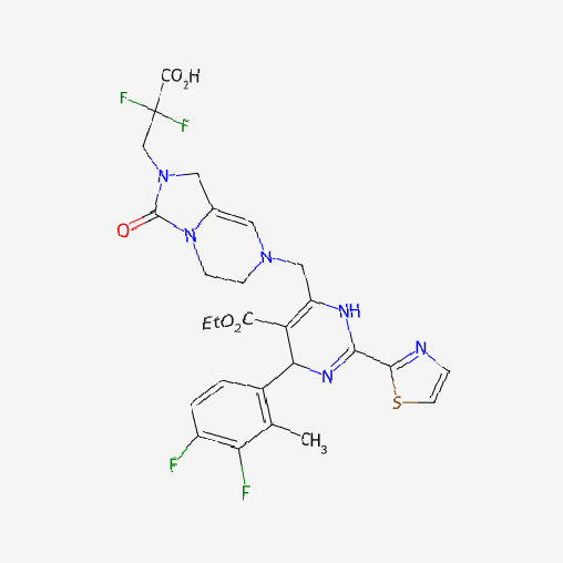 CCOC(=O)C1=C(CN2C=C3CN(CC(F)(F)C(=O)O)C(=O)N3CC2)NC(c2nccs2)=NC1c1ccc(F)c(F)c1C